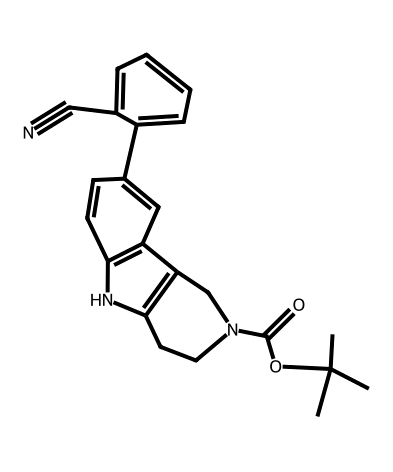 CC(C)(C)OC(=O)N1CCc2[nH]c3ccc(-c4ccccc4C#N)cc3c2C1